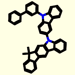 CC1(C)c2ccccc2-c2cc3c4ccccc4n(-c4ccc5c(c4)c4ccccc4n5-c4cccc(-c5ccccc5)c4)c3cc21